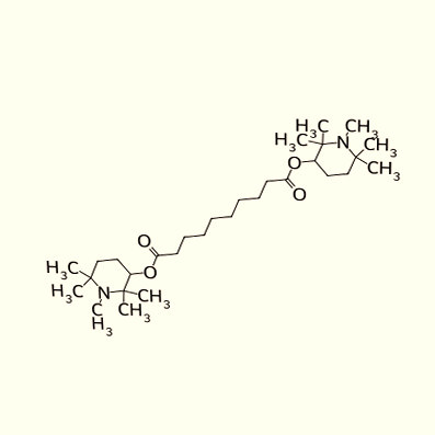 CN1C(C)(C)CCC(OC(=O)CCCCCCCCC(=O)OC2CCC(C)(C)N(C)C2(C)C)C1(C)C